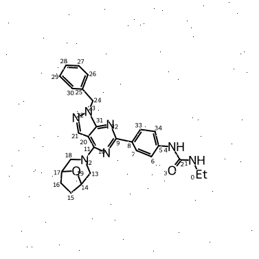 CCNC(=O)Nc1ccc(-c2nc(N3CC4CCC(C3)O4)c3cnn(Cc4ccccc4)c3n2)cc1